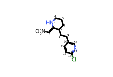 O=[N+]([O-])C=C1NCCCC1CCc1ccc(Cl)nc1